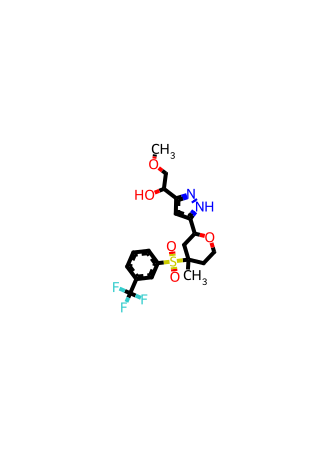 COCC(O)c1cc(C2CC(C)(S(=O)(=O)c3cccc(C(F)(F)F)c3)CCO2)[nH]n1